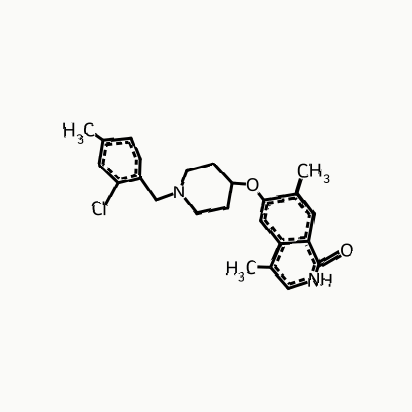 Cc1ccc(CN2CCC(Oc3cc4c(C)c[nH]c(=O)c4cc3C)CC2)c(Cl)c1